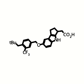 CC(C)(C)Cc1ccc(COc2ccc3[nH]c4c(c3c2)CCC4CC(=O)O)cc1C(F)(F)F